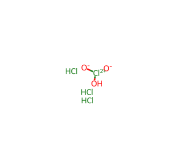 Cl.Cl.Cl.[O-][Cl+2]([O-])O